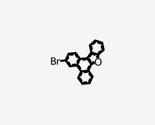 Brc1ccc2c(c1)c1ccccc1c1oc3ccccc3c21